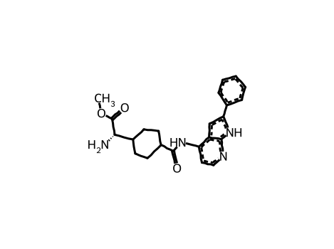 COC(=O)[C@@H](N)C1CCC(C(=O)Nc2ccnc3[nH]c(-c4ccccc4)cc23)CC1